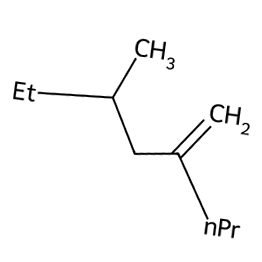 [CH2]CCC(=C)CC(C)CC